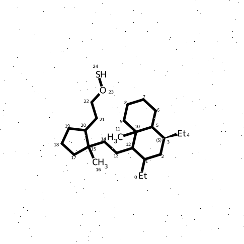 CCC1C[C@H](CC)C2CCCCC2(C)C1CCC1(C)CCCC1CCOS